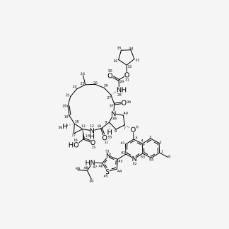 Cc1ccc2c(O[C@@H]3C[C@H]4C(=O)N[C@]5(C(=O)O)C[C@H]5/C=C\CCC(C)CC[C@H](NC(=O)OC5CCCC5)C(=O)N4C3)cc(-c3csc(NC(C)C)n3)nc2c1